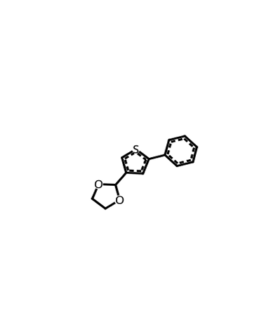 c1ccc(-c2cc(C3OCCO3)cs2)cc1